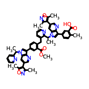 COC(=O)c1cc(-c2cn([C@@H](C)c3ccccn3)c3cc(-c4c(C)noc4C)cnc23)ccc1Cc1cccnc1[C@H](C)n1cc(-c2ccc(C)c(C(=O)O)c2)c2ncc(-c3c(C)noc3C)cc21